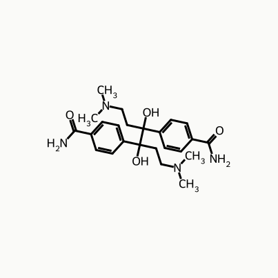 CN(C)CCC(O)(c1ccc(C(N)=O)cc1)C(O)(CCN(C)C)c1ccc(C(N)=O)cc1